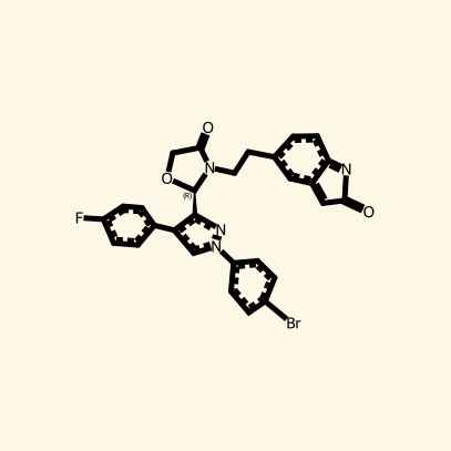 O=C1C=c2cc(CCN3C(=O)CO[C@@H]3c3nn(-c4ccc(Br)cc4)cc3-c3ccc(F)cc3)ccc2=N1